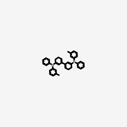 Cc1cccc(N(C2=CC(C3=CCCC(N(c4ccccc4)c4cccc(C)c4)=C3)=CCC2)c2ccccc2)c1